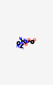 COc1cccc(C(=O)Cn2cnc3c(C#N)c(N4CCCC(N)C4)n(CCC(C)C)c3c2=O)c1